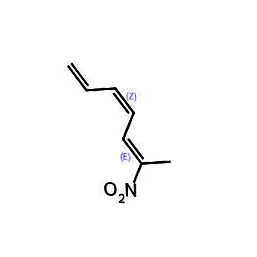 C=C/C=C\C=C(/C)[N+](=O)[O-]